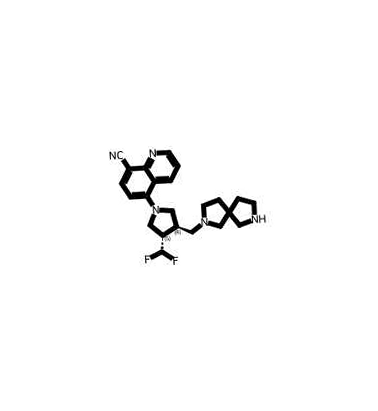 N#Cc1ccc(N2C[C@@H](CN3CCC4(CCNC4)C3)[C@H](C(F)F)C2)c2cccnc12